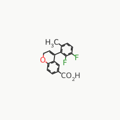 Cc1ccc(F)c(F)c1C1=CCOc2ccc(C(=O)O)cc21